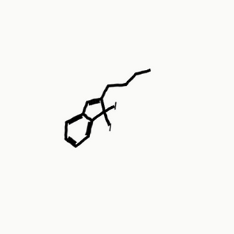 CCCCC1=Cc2ccccc2C1(I)I